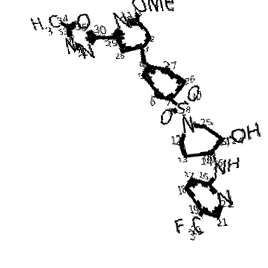 COc1cc(-c2ccc(S(=O)(=O)N3CC[C@@H](Nc4ccc(C(F)(F)F)cn4)[C@@H](O)C3)cc2)cc(-c2nnc(C)o2)n1